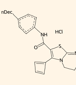 CCCCCCCCCCc1ccc(NC(=O)C2=C(C3=CC=C3)N3CCCN=C3S2)cc1.Cl